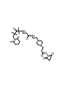 CC1CCCC(C)N1CC(C)(C)C(=O)C(C)(C)NCCC(=O)NCCN1CCN(CCC(=O)ON2C(=O)CCC2=O)CC1